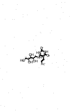 CC(=O)/C=C/c1c(NC[C@H](O)[C@H](O)[C@H](O)CO)[nH]c(=O)[nH]c1=O